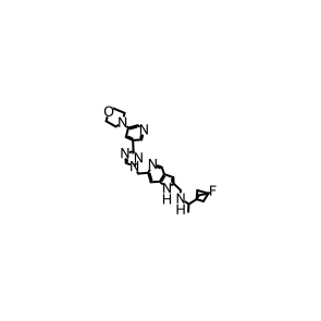 CC(NCc1cc2cnc(Cn3cnc(-c4cncc(N5CCOCC5)c4)n3)cc2[nH]1)C12CC(F)(C1)C2